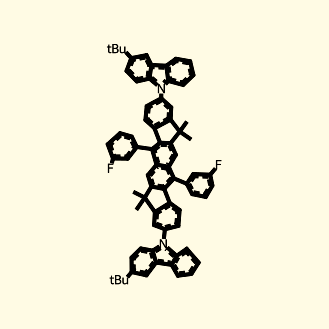 CC(C)(C)c1ccc2c(c1)c1ccccc1n2-c1ccc2c(c1)C(C)(C)c1cc3c(-c4cccc(F)c4)c4c(cc3c(-c3cccc(F)c3)c1-2)C(C)(C)c1cc(-n2c3ccccc3c3cc(C(C)(C)C)ccc32)ccc1-4